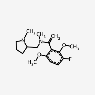 C=C(c1c(OC)ccc(F)c1OC)N(C)CC1CCCN1C